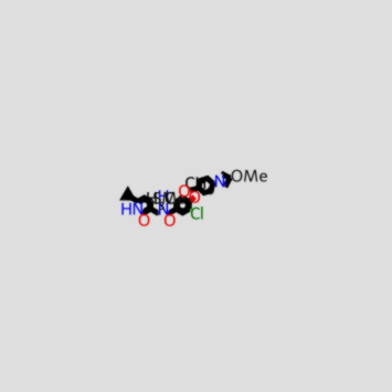 COC1CN(C2CCC(C3(C)Oc4c(Cl)cc(C(=O)NCc5c(SC)cc(C6CC6)[nH]c5=O)c(C)c4O3)CC2)C1